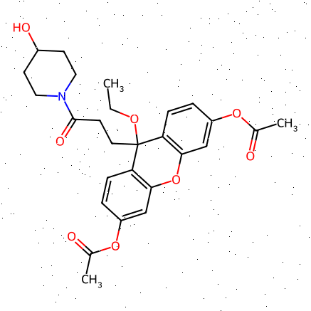 CCOC1(CCC(=O)N2CCC(O)CC2)c2ccc(OC(C)=O)cc2Oc2cc(OC(C)=O)ccc21